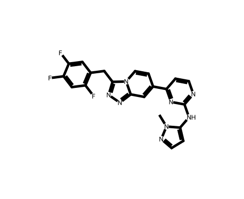 Cn1nccc1Nc1nccc(-c2ccn3c(Cc4cc(F)c(F)cc4F)nnc3c2)n1